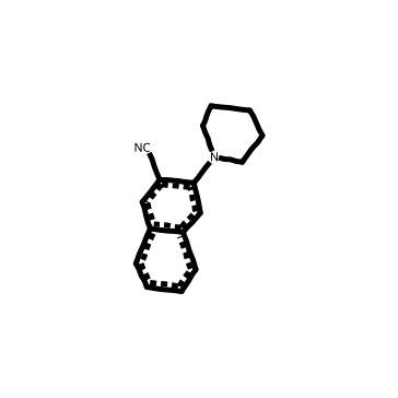 N#Cc1cc2ccccc2cc1N1CCCCC1